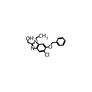 CCn1c(CO)nc2cc(Cl)c(OCc3ccccc3)cc21